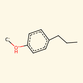 [CH2-][OH+]c1ccc(CCC)cc1